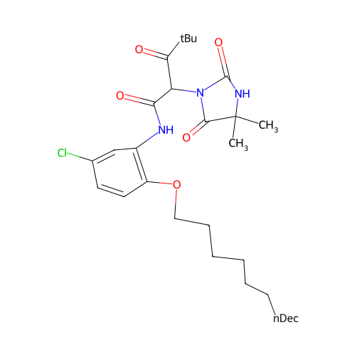 CCCCCCCCCCCCCCCCOc1ccc(Cl)cc1NC(=O)C(C(=O)C(C)(C)C)N1C(=O)NC(C)(C)C1=O